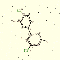 Cc1cc(Cl)c(C)c(-c2ccc(Cl)c(C)c2)c1